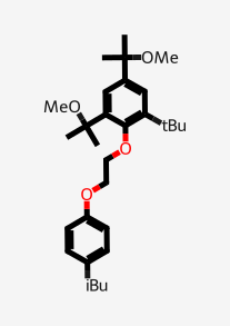 CCC(C)c1ccc(OCCOc2c(C(C)(C)C)cc(C(C)(C)OC)cc2C(C)(C)OC)cc1